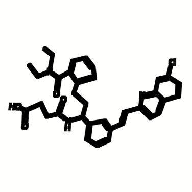 CCN(CC)C(=O)c1ccccc1CCC(NC(=O)CCC(=O)O)c1cccc(/C=C/c2ccc3ccc(Cl)cc3n2)c1